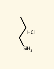 CCC[SiH3].Cl